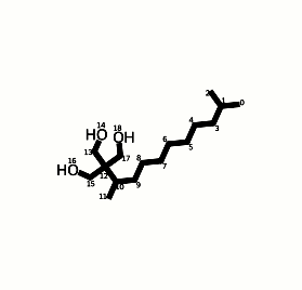 CC(C)CCCCCCCC(C)C(CO)(CO)CO